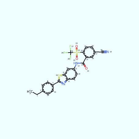 CCc1ccc(-c2nc3ccc(NC(=O)c4cc(C#N)ccc4S(=O)(=O)C(F)(F)F)cc3s2)cc1